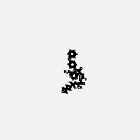 C[C@@H](Cn1c(=O)n(-c2ccc(Oc3ccccc3)cc2)c2c(N)ncnc21)NC(=O)C(C#N)=CC(C)(C)N1CC2(COC2)C1